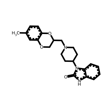 Cc1ccc2c(c1)OCC(CN1CCC(n3c(=O)[nH]c4ccccc43)CC1)O2